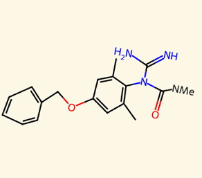 CNC(=O)N(C(=N)N)c1c(C)cc(OCc2ccccc2)cc1C